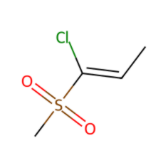 C/C=C(\Cl)S(C)(=O)=O